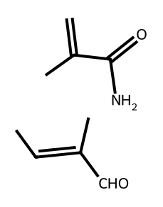 C=C(C)C(N)=O.CC=C(C)C=O